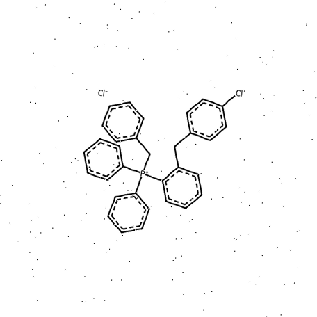 Clc1ccc(Cc2ccccc2[P+](Cc2ccccc2)(c2ccccc2)c2ccccc2)cc1.[Cl-]